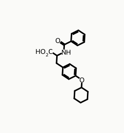 O=C(NC(Cc1ccc(OC2CCCCC2)cc1)C(=O)O)c1ccccc1